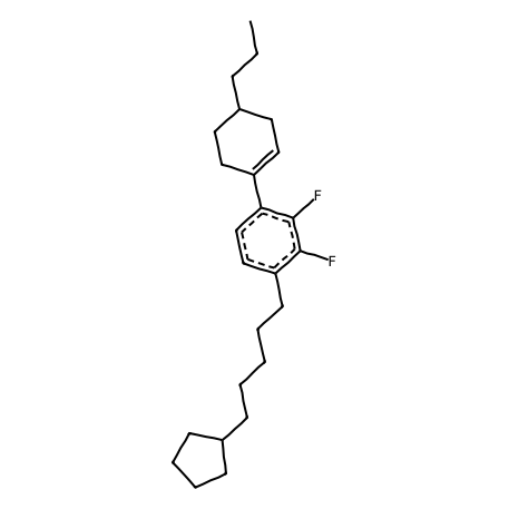 CCCC1CC=C(c2ccc(CCCCCC3CCCC3)c(F)c2F)CC1